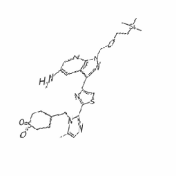 Cc1cnc(-c2nc(-c3nn(COCC[Si](C)(C)C)c4ncc(N)cc34)cs2)n1CC1CCS(=O)(=O)CC1